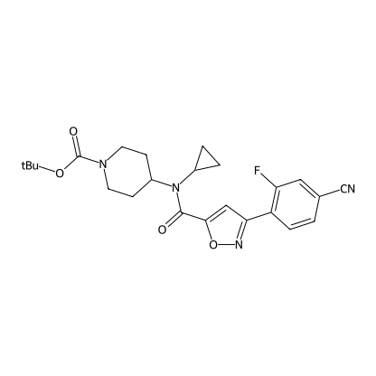 CC(C)(C)OC(=O)N1CCC(N(C(=O)c2cc(-c3ccc(C#N)cc3F)no2)C2CC2)CC1